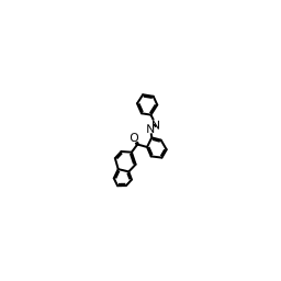 O=C(c1ccc2ccccc2c1)c1ccccc1N=Nc1ccccc1